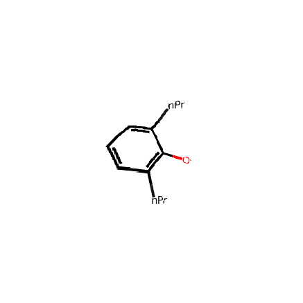 CCCc1cccc(CCC)c1[O]